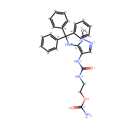 Cn1ncc(NC(=O)NCCOC(N)=O)c1NC(c1ccccc1)(c1ccccc1)c1ccccc1